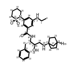 CCNc1cc(C(=O)N[C@@H](Cc2ccccc2)[C@H](O)CN[C@]23CC[C@H](CC2)C3)cc(N2CCCCS2(=O)=O)c1